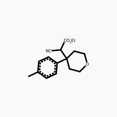 CCOC(=O)C(C#N)C1(c2ccc(C)cc2)CCOCC1